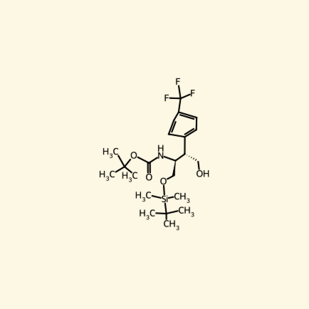 CC(C)(C)OC(=O)N[C@H](CO[Si](C)(C)C(C)(C)C)[C@@H](CO)c1ccc(C(F)(F)F)cc1